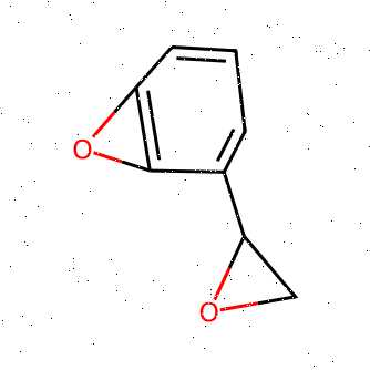 c1cc2c(c(C3CO3)c1)O2